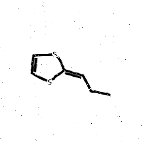 CCC=C1SC=CS1